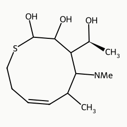 CNC1C(C)/C=C\CCSC(O)C(O)C1[C@H](C)O